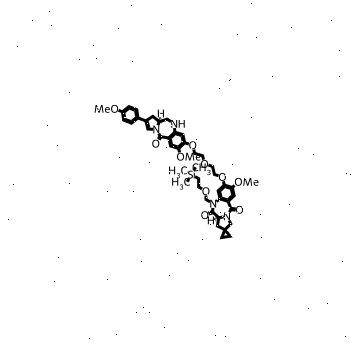 COc1ccc(C2=CN3C(=O)c4cc(OC)c(OCCOCCOc5cc6c(cc5OC)C(=O)N5CC7(CC7)C[C@H]5C(=O)N6COCC[Si](C)(C)C)cc4NC[C@@H]3C2)cc1